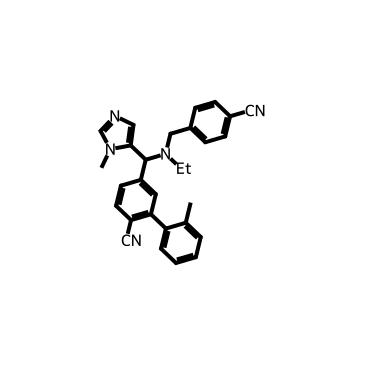 CCN(Cc1ccc(C#N)cc1)C(c1ccc(C#N)c(-c2ccccc2C)c1)c1cncn1C